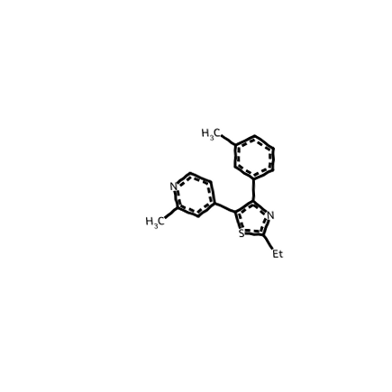 CCc1nc(-c2cccc(C)c2)c(-c2ccnc(C)c2)s1